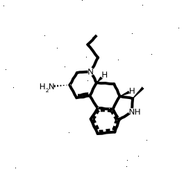 CCCN1C[C@@H](N)C=C2c3cccc4c3[C@H](C[C@H]21)[C@@H](C)N4